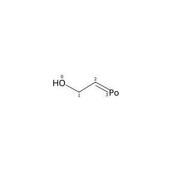 OC[CH]=[Po]